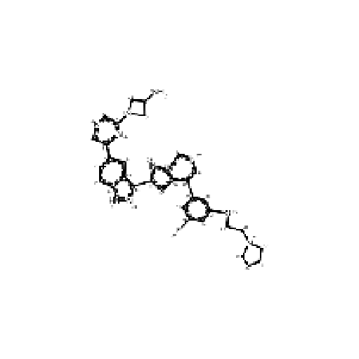 NC1CN(c2cncc(-c3ccc4[nH]nc(-c5cc6c(-c7cc(F)cc(OCCN8CCCC8)c7)cncc6[nH]5)c4c3)n2)C1